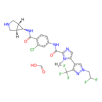 Cn1c(-c2cn(CC(F)F)nc2C(F)(F)F)cnc1C(=O)Nc1ccc(C(=O)N[C@H]2[C@@H]3CNC[C@@H]32)c(Cl)c1.O=CO